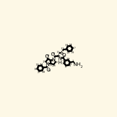 NCc1cccc(C(=O)N[C@@H](CSCc2ccccc2)C(=O)N2CCC3C2C(=O)CN3C(=O)c2ccccc2)c1